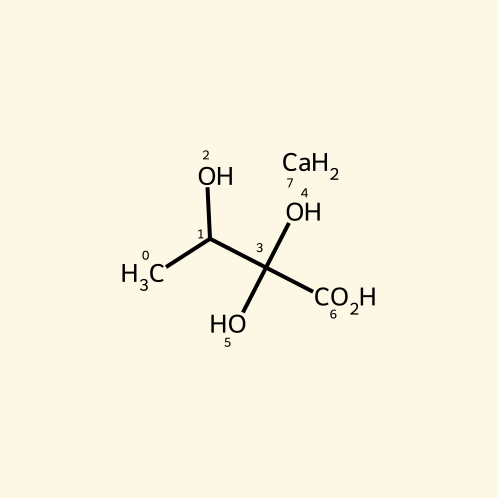 CC(O)C(O)(O)C(=O)O.[CaH2]